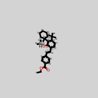 CCOC(=O)c1ccc(/C=C/c2ccc(C(C)(C)C)c(C3(C)CCCCC3)c2O[SiH](C)C)cc1